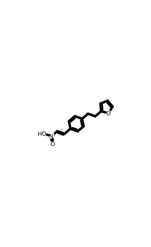 O=[N+](O)/C=C/c1ccc(CCc2ccco2)cc1